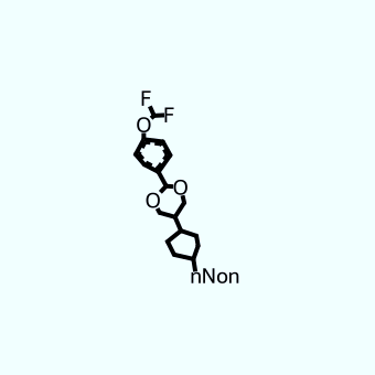 CCCCCCCCCC1CCC(C2COC(c3ccc(OC(F)F)cc3)OC2)CC1